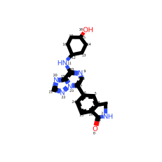 O=C1NCc2cc(-c3cnc(NC4CCC(O)CC4)c4ncnn34)ccc21